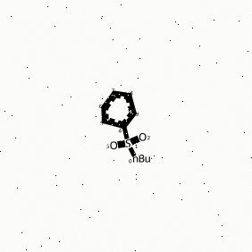 CCC[CH]S(=O)(=O)c1ccccc1